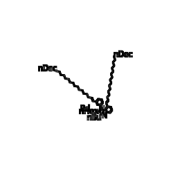 CCCCCCCCCCCCCCCCCCCCCCCCCC=Cc1cccc(N=C(CCCC)C(CCCCCC)=Nc2cccc(C=CCCCCCCCCCCCCCCCCCCCCCCCCC)c2)c1.[Pd]